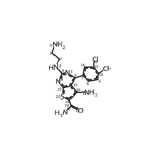 NCCNc1nc(-c2ccc(Cl)c(Cl)c2)c2c(N)c(C(N)=O)sc2n1